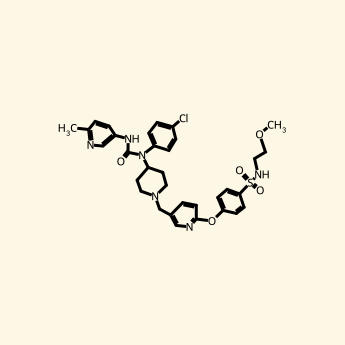 COCCNS(=O)(=O)c1ccc(Oc2ccc(CN3CCC(N(C(=O)Nc4ccc(C)nc4)c4ccc(Cl)cc4)CC3)cn2)cc1